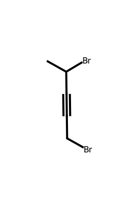 CC(Br)C#CCBr